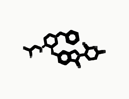 O=C1CCC(N2Cc3cc(O[C@@H]4CN(Cc5ccccc5)CC[C@H]4NCC(F)F)ccc3C2=O)C(=O)N1